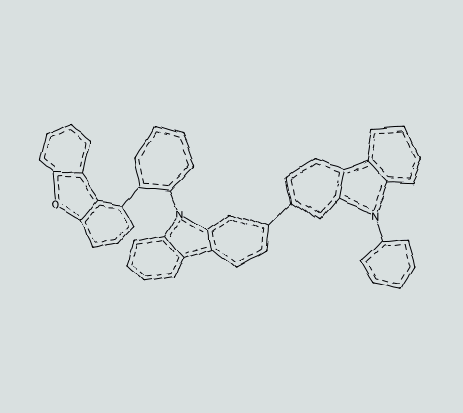 c1ccc(-n2c3ccccc3c3ccc(-c4ccc5c6ccccc6n(-c6ccccc6-c6cccc7oc8ccccc8c67)c5c4)cc32)cc1